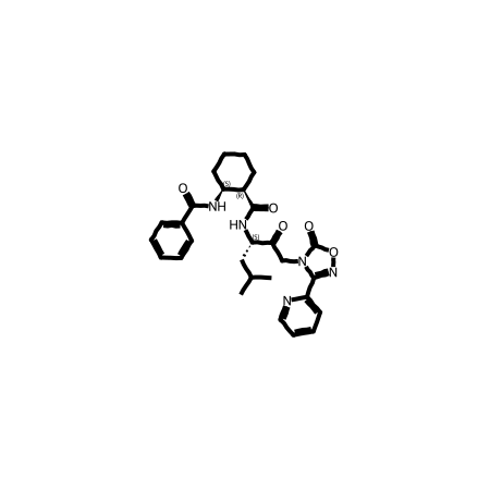 CC(C)C[C@H](NC(=O)[C@@H]1CCCC[C@@H]1NC(=O)c1ccccc1)C(=O)Cn1c(-c2ccccn2)noc1=O